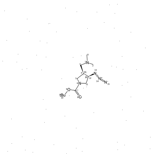 CN(C)C[C@@H]1CN(C(=O)OC(C)(C)C)C[C@@H]1N=[N+]=[N-]